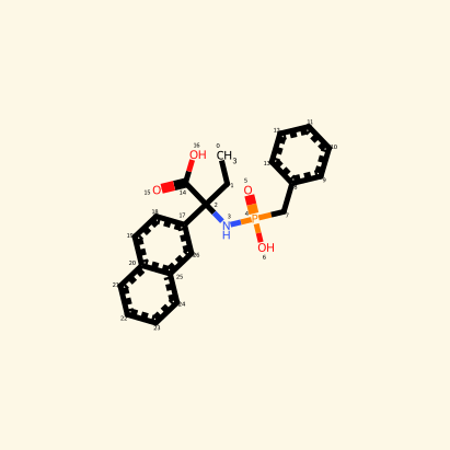 CCC(NP(=O)(O)Cc1ccccc1)(C(=O)O)c1ccc2ccccc2c1